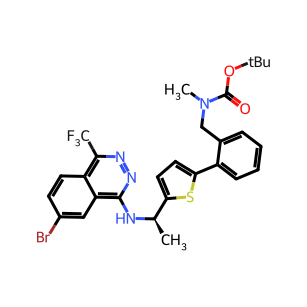 C[C@@H](Nc1nnc(C(F)(F)F)c2ccc(Br)cc12)c1ccc(-c2ccccc2CN(C)C(=O)OC(C)(C)C)s1